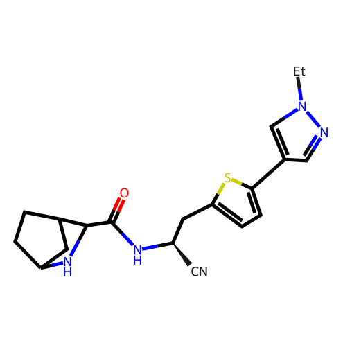 CCn1cc(-c2ccc(C[C@@H](C#N)NC(=O)C3NC4CCC3C4)s2)cn1